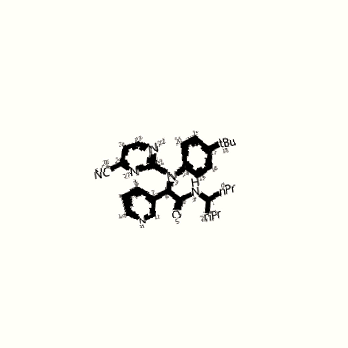 CCCC(CCC)NC(=O)C(c1cccnc1)N(c1ccc(C(C)(C)C)cc1)c1nccc(C#N)n1